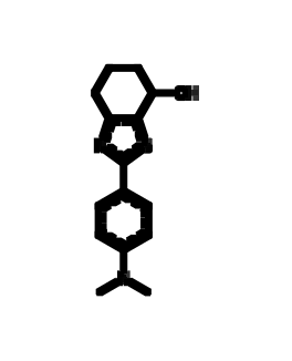 CN(C)c1ccc(-c2nc3c(s2)C(O)CCC3)cc1